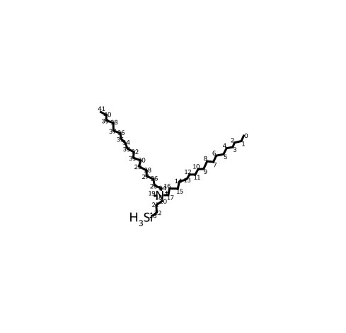 CCCCCCCCCCCCCCCCCC[N+](C)(CCC[SiH3])CCCCCCCCCCCCCCCCCC